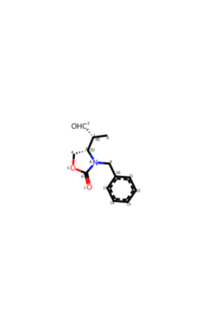 C[C@@H](C=O)[C@H]1COC(=O)N1Cc1ccccc1